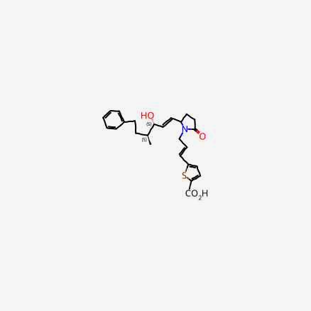 C[C@@H](CCc1ccccc1)[C@H](O)C=CC1CCC(=O)N1CC=Cc1ccc(C(=O)O)s1